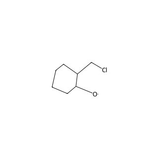 [O]C1CCCCC1CCl